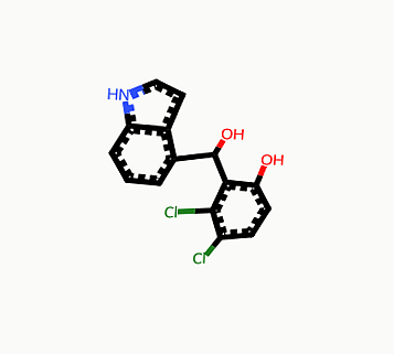 Oc1ccc(Cl)c(Cl)c1C(O)c1cccc2[nH]ccc12